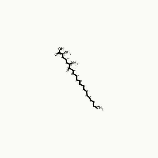 CCCCCCCCCCCCCCCC(=O)C(N)CCC[C@H](N)C(=O)O